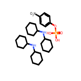 C1CCC(NC2CCCCC2)CC1.C1CCC(NC2CCCCC2)CC1.O=[N+]([O-])c1ccc(OP(=O)(O)O)cc1